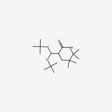 CC(C)(C)ON(OC(C)(C)C)C1CC(C)(C)C(C)(C)NC1=O